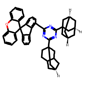 c1ccc2c(c1)Oc1ccccc1C21c2ccccc2-c2c(-c3nc(C45CCC6C[C@H](CC6C4)C5)nc(C45C[C@H]6C[C@H](C4)C[C@@H](C5)C6)n3)cccc21